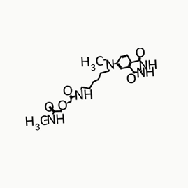 CCN(CCCCCCNC(=O)COCC(=O)NC)c1ccc2c(=O)[nH][nH]c(=O)c2c1